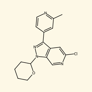 Cc1cc(-c2nn(C3CCCCO3)c3cnc(Cl)cc23)ccn1